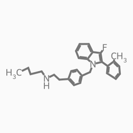 CCCCNCCc1ccc(Cn2c(-c3ccccc3C)c(F)c3ccccc32)cc1